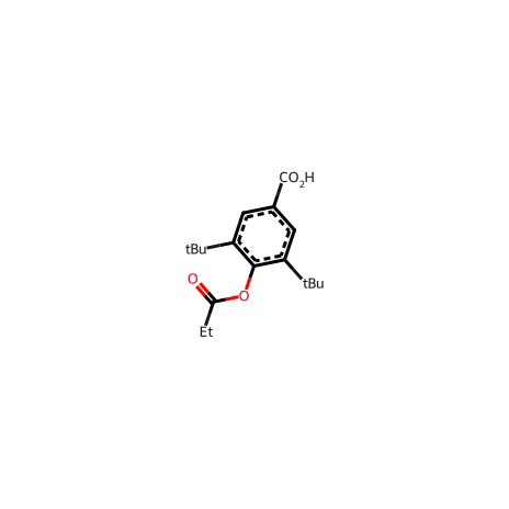 CCC(=O)Oc1c(C(C)(C)C)cc(C(=O)O)cc1C(C)(C)C